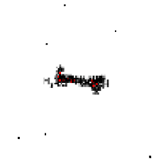 CCC([C@H](C)OCc1ccccc1)n1ncn(-c2ccc(N3CCN(c4ccc(-c5ccc(C(F)(F)C(O)(Cn6cccn6)c6ccccc6F)nc5)cc4)CC3)cc2)c1=O